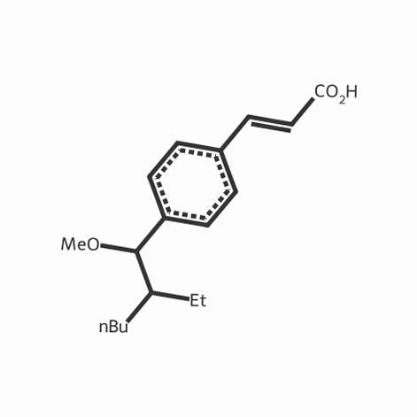 CCCCC(CC)C(OC)c1ccc(C=CC(=O)O)cc1